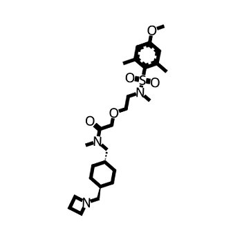 COc1cc(C)c(S(=O)(=O)N(C)CCOCC(=O)N(C)C[C@H]2CC[C@H](CN3CCC3)CC2)c(C)c1